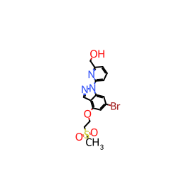 CS(=O)(=O)CCOc1cc(Br)cc2c1cnn2-c1cccc(CO)n1